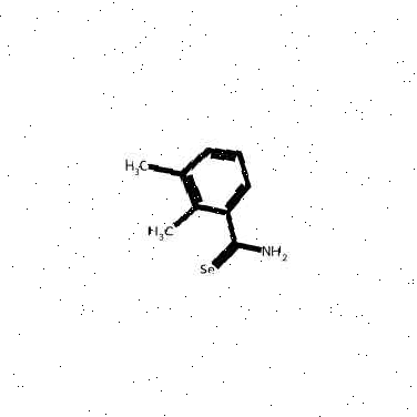 Cc1cccc(C(N)=[Se])c1C